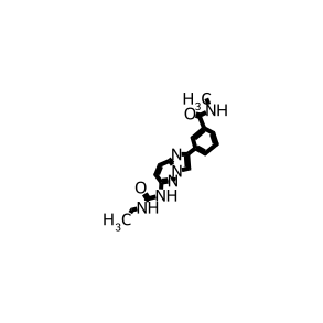 CCNC(=O)Nc1ccc2nc(-c3cccc(C(=O)NC)c3)cn2n1